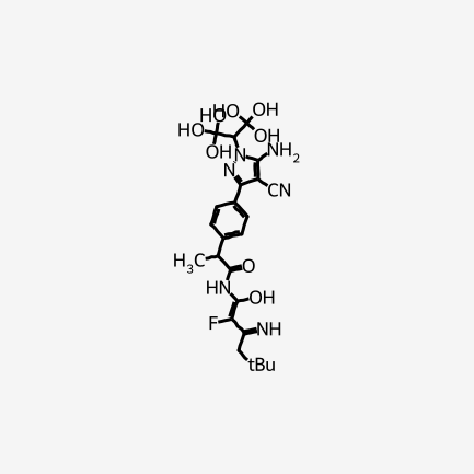 CC(C(=O)N/C(O)=C(\F)C(=N)CC(C)(C)C)c1ccc(-c2nn(C(C(O)(O)O)C(O)(O)O)c(N)c2C#N)cc1